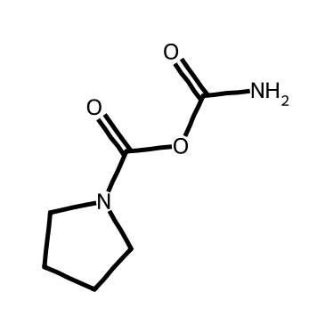 NC(=O)OC(=O)N1CCCC1